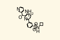 Nc1ncc(-c2cccc(S(=O)(=O)NC3CCC3)c2)nc1C(=O)c1cccnc1